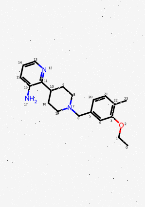 CCOc1cc(CN2CCC(c3ncccc3N)CC2)ccc1C